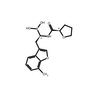 Cc1cccc2c(C[C@H](NC(=O)[C@H]3CCCO3)B(O)O)coc12